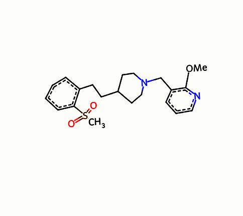 COc1ncccc1CN1CCC(CCc2ccccc2S(C)(=O)=O)CC1